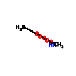 CCCCCCCCCCCOCCOCCOCCOCCOCCNC